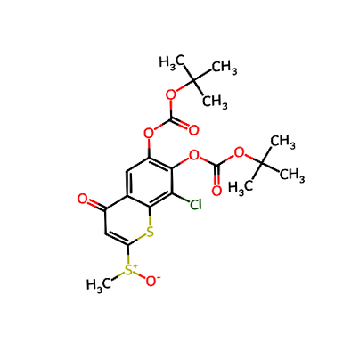 C[S+]([O-])c1cc(=O)c2cc(OC(=O)OC(C)(C)C)c(OC(=O)OC(C)(C)C)c(Cl)c2s1